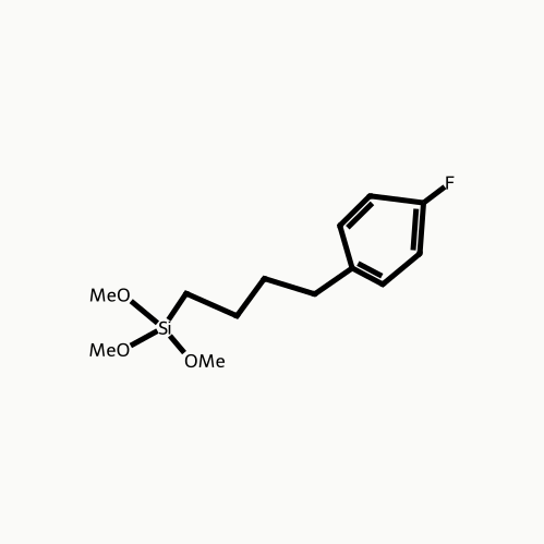 CO[Si](CCCCc1ccc(F)cc1)(OC)OC